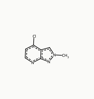 Cn1cc2c(Cl)ccnc2n1